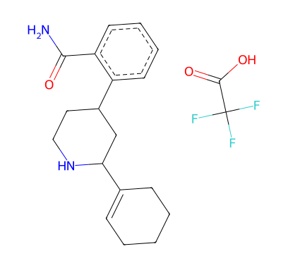 NC(=O)c1ccccc1C1CCNC(C2=CCCCC2)C1.O=C(O)C(F)(F)F